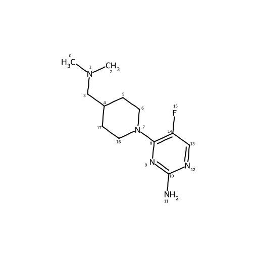 CN(C)CC1CCN(c2nc(N)ncc2F)CC1